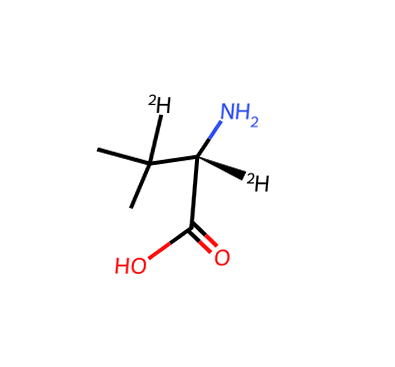 [2H]C(C)(C)[C@]([2H])(N)C(=O)O